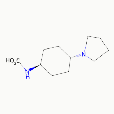 O=C(O)N[C@H]1CC[C@H](N2CCCC2)CC1